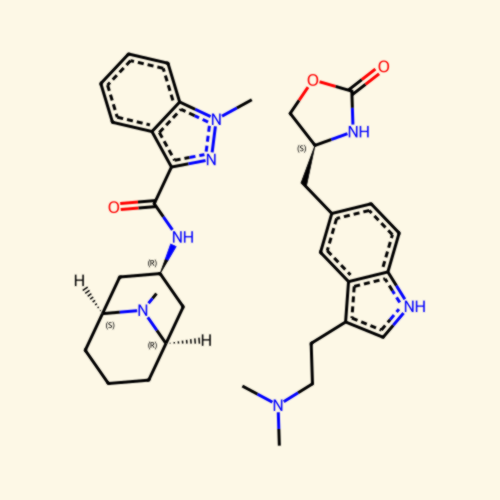 CN(C)CCc1c[nH]c2ccc(C[C@H]3COC(=O)N3)cc12.CN1[C@@H]2CCC[C@H]1C[C@@H](NC(=O)c1nn(C)c3ccccc13)C2